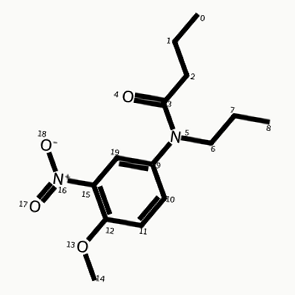 CCCC(=O)N(CCC)c1ccc(OC)c([N+](=O)[O-])c1